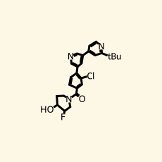 CC(C)(C)c1cc(-c2cncc(-c3ccc(C(=O)N4CCC(O)C(F)C4)cc3Cl)c2)ccn1